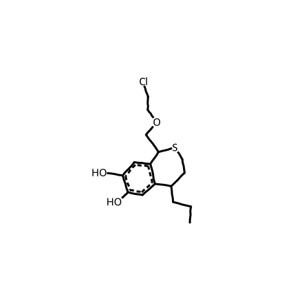 CCCC1CCSC(COCCCl)c2cc(O)c(O)cc21